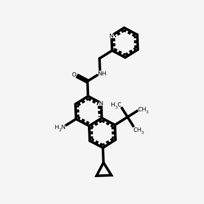 CC(C)(C)c1cc(C2CC2)cc2c(N)cc(C(=O)NCc3ccccn3)nc12